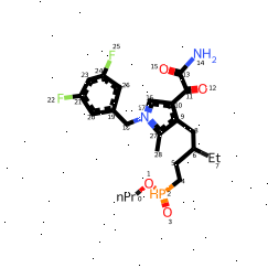 CCCO[PH](=O)CCC(CC)Cc1c(C(=O)C(N)=O)cn(Cc2cc(F)cc(F)c2)c1C